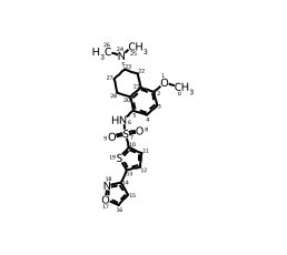 COc1ccc(NS(=O)(=O)c2ccc(-c3ccon3)s2)c2c1C[C@@H](N(C)C)CC2